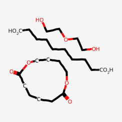 O=C(O)CCCCCCCCC(=O)O.O=C1CCCCC(=O)OCCCCO1.OCCOCCO